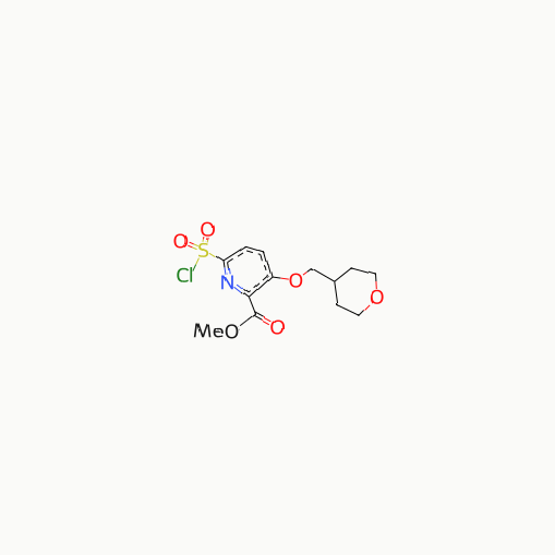 COC(=O)c1nc(S(=O)(=O)Cl)ccc1OCC1CCOCC1